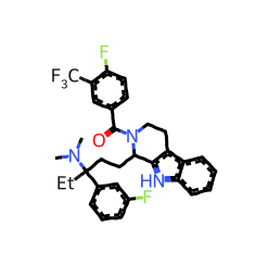 CCC(CCC1c2[nH]c3ccccc3c2CCN1C(=O)c1ccc(F)c(C(F)(F)F)c1)(c1cccc(F)c1)N(C)C